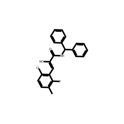 Cc1ccc(Cl)c(/C=C(\C#N)C(=O)NC(c2ccccc2)c2ccccc2)c1F